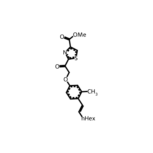 CCCCCC/C=C/c1ccc(OCC(=O)c2nc(C(=O)OC)cs2)cc1C